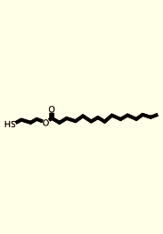 CCCCCCCCCCCCCCC(=O)OCCCS